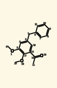 COc1cc(Cc2ccccc2)cc(C(C)=O)c1OC